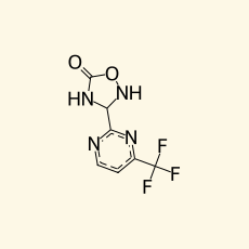 O=C1NC(c2nccc(C(F)(F)F)n2)NO1